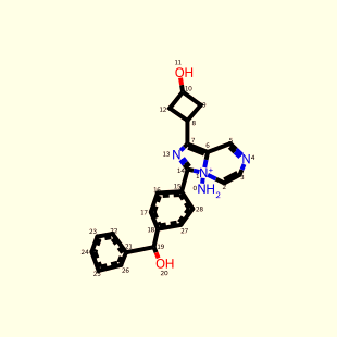 N[N+]12C=CN=CC1=C(C1CC(O)C1)N=C2c1ccc(C(O)c2ccccc2)cc1